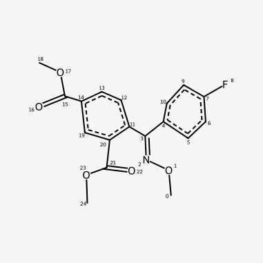 CO/N=C(\c1ccc(F)cc1)c1ccc(C(=O)OC)cc1C(=O)OC